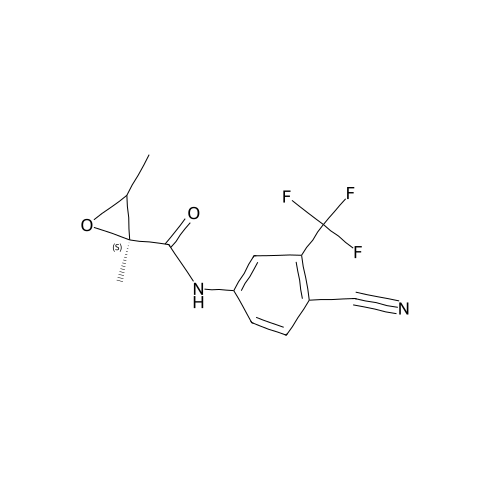 CC1O[C@]1(C)C(=O)Nc1ccc(C#N)c(C(F)(F)F)c1